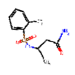 CC(CC(N)=O)NS(=O)(=O)c1ccccc1C(F)(F)F